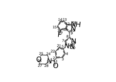 O=C(c1ccc(-n2cc(-c3n[nH]c4cccc(F)c34)nn2)cc1)N1CCOCC1